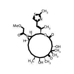 COCC(=O)N1[C@@H]2CCC[C@H](C)[C@H](O)[C@@H](C)C(=O)C(C)(C)[C@@H](O)CC(=O)O[C@H](C(C)=Cc3csc(C)n3)C[C@@H]21